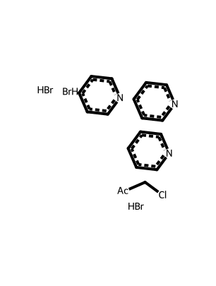 Br.Br.Br.CC(=O)CCl.c1ccncc1.c1ccncc1.c1ccncc1